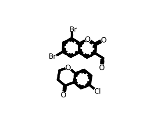 O=C1CCOc2ccc(Cl)cc21.O=Cc1cc2cc(Br)cc(Br)c2oc1=O